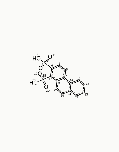 O=S(=O)(O)c1ccc2c(ccc3ccccc32)c1S(=O)(=O)O